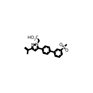 C=C(C)c1cc(-c2ccc(-c3cccc(S(C)(=O)=O)c3)cc2)n(CC(=O)O)n1